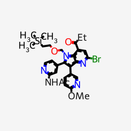 CCC(=O)c1cc(Br)nc2c(-c3ccc(OC)nc3)c(-c3ccnc(NC(C)=O)c3)n(COCC[Si](C)(C)C)c12